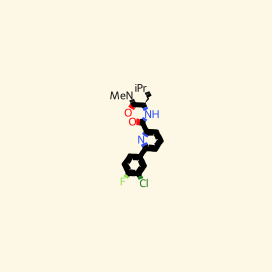 CNC(=O)[C@H](CC(C)C)NC(=O)c1cccc(-c2ccc(F)c(Cl)c2)n1